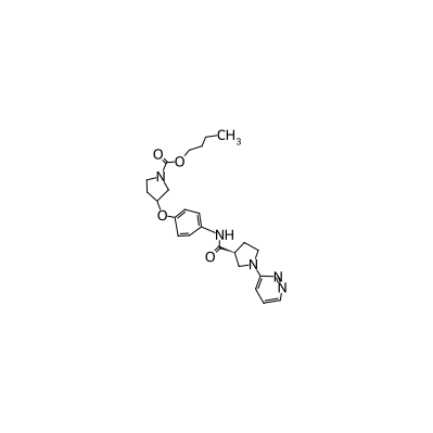 CCCCOC(=O)N1CCC(Oc2ccc(NC(=O)[C@H]3CCN(c4cccnn4)C3)cc2)C1